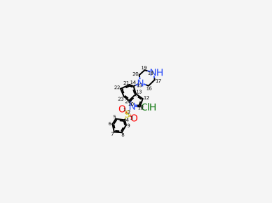 Cl.O=S(=O)(c1ccccc1)n1ccc2c(N3CCNCC3)cccc21